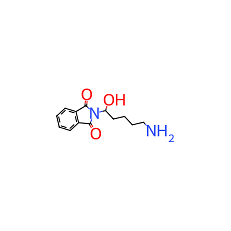 NCCCCC(O)N1C(=O)c2ccccc2C1=O